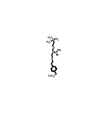 CCOC(=O)Cc1ccc(CCOCCN(COCC[Si](C)(C)C)[S+]([O-])C(C)(C)C)cc1